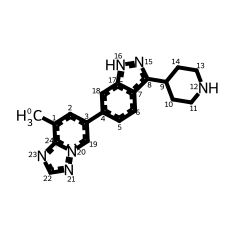 Cc1cc(-c2ccc3c(C4CCNCC4)n[nH]c3c2)cn2ncnc12